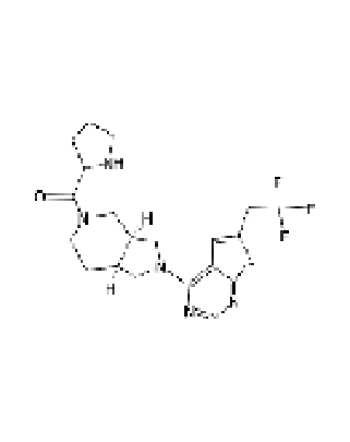 O=C(C1CCCN1)N1CC[C@@H]2CN(c3ncnc4sc(CC(F)(F)F)cc34)C[C@@H]2C1